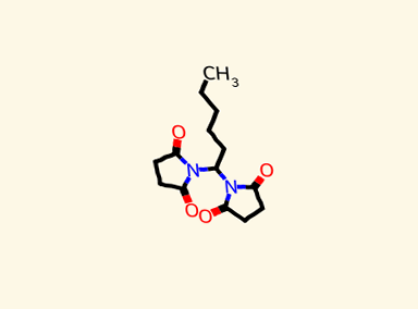 CCCCCC(N1C(=O)CCC1=O)N1C(=O)CCC1=O